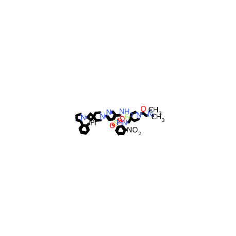 CC(C)c1ccccc1C1CCCN1C1CC2(CCN(c3cc(S(=O)(=O)c4cccc([N+](=O)[O-])c4NCC4(F)CCN(C(=O)CN(C)C)CC4)c(C(N)=O)cn3)CC2)C1